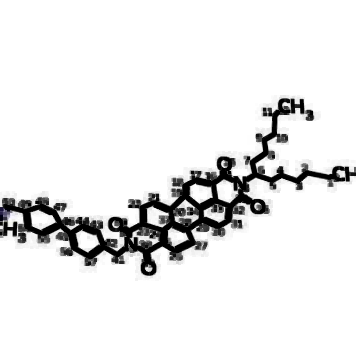 CCCCCCC(CCCCCC)N1C(=O)c2ccc3c4ccc5c6c(ccc(c7ccc(c2c37)C1=O)c64)C(=O)N(Cc1ccc(-c2ccc(/C=[N+](\C)[O-])cc2)cc1)C5=O